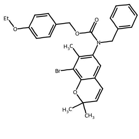 CCOc1ccc(COC(=O)N(Cc2ccccc2)c2cc3c(c(Br)c2C)OC(C)(C)C=C3)cc1